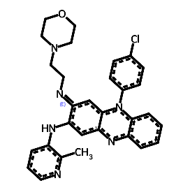 Cc1ncccc1Nc1cc2nc3ccccc3n(-c3ccc(Cl)cc3)c-2c/c1=N\CCN1CCOCC1